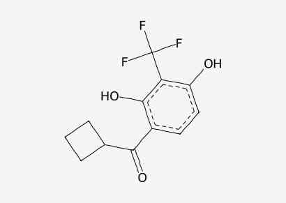 O=C(c1ccc(O)c(C(F)(F)F)c1O)C1CCC1